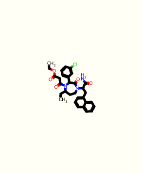 CCOC(=O)CC(=O)N1C(CC)CCN(C(Cc2cccc3ccccc23)C(N)=O)C(=O)C1c1cccc(Cl)c1